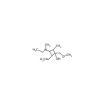 C=CC1C(N(C)CC)C(C)C1(O)COC